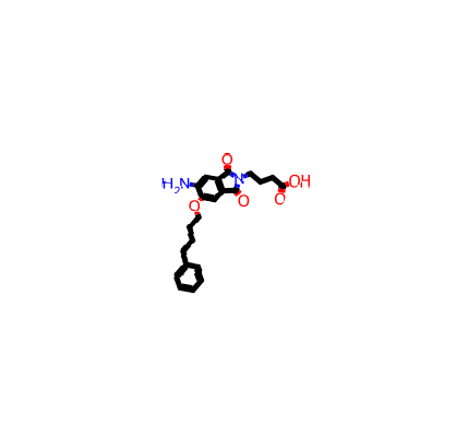 Nc1cc2c(cc1OCCCCc1ccccc1)C(=O)N(CCCC(=O)O)C2=O